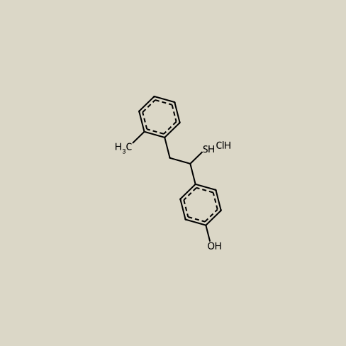 Cc1ccccc1CC(S)c1ccc(O)cc1.Cl